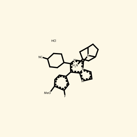 COc1ccc(-c2c(C3CCC(C#N)CC3)nc(N3C4CCC3CC(N)C4)n3ccnc23)cc1F.Cl